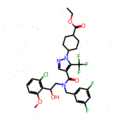 CCOC(=O)C1CCC(n2ncc(C(=O)N(Cc3cc(F)cc(F)c3)CC(O)c3c(Cl)cccc3OC)c2C(F)(F)F)CC1